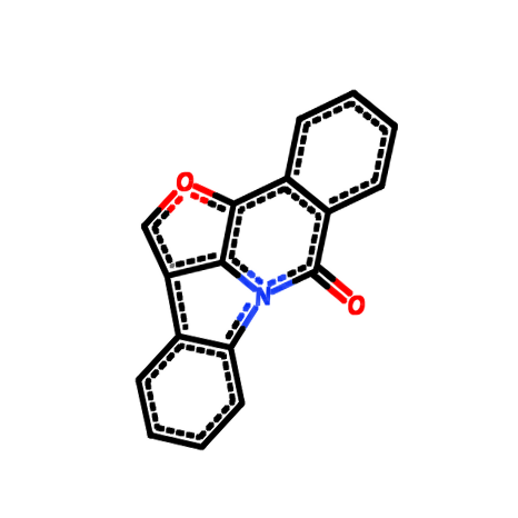 O=c1c2ccccc2c2occ3c4ccccc4n1c32